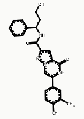 Cc1ccc(-c2cn3nc(C(=O)NC(CCO)c4ccccc4)cc3c(=O)[nH]2)cc1C